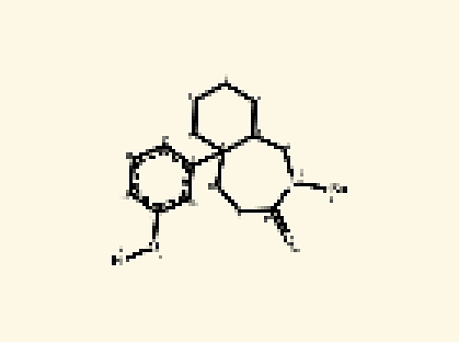 CCCCN1CC2CCCCC2(c2cccc(OCC)c2)CCC1=O